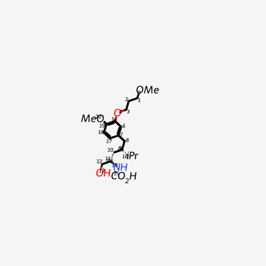 COCCCOc1cc(C[C@@H](C[C@@H](CO)NC(=O)O)C(C)C)ccc1OC